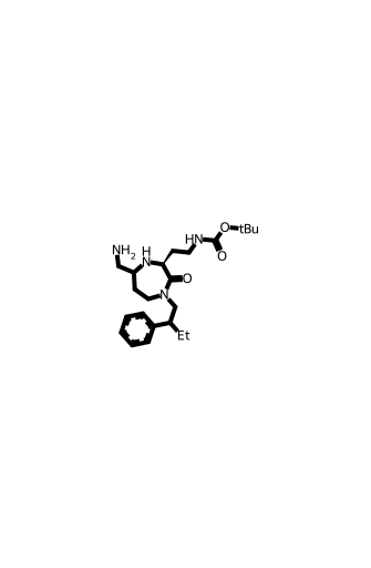 CCC(CN1CCC(CN)N[C@@H](CCNC(=O)OC(C)(C)C)C1=O)c1ccccc1